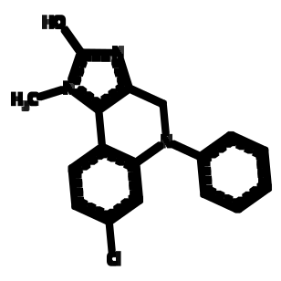 Cn1c(O)nc2c1-c1ccc(Cl)cc1N(c1ccccc1)C2